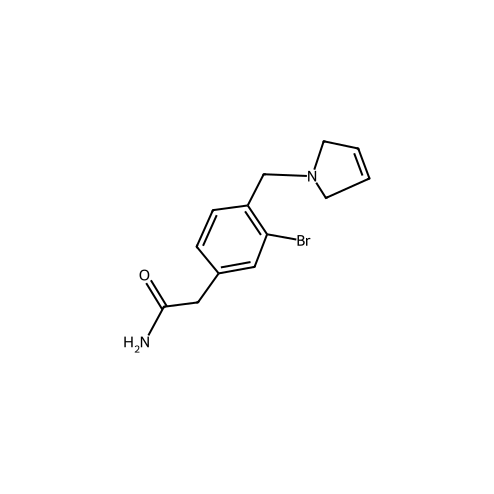 NC(=O)Cc1ccc(CN2CC=CC2)c(Br)c1